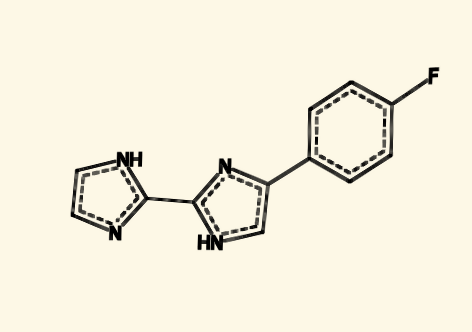 Fc1ccc(-c2c[nH]c(-c3ncc[nH]3)n2)cc1